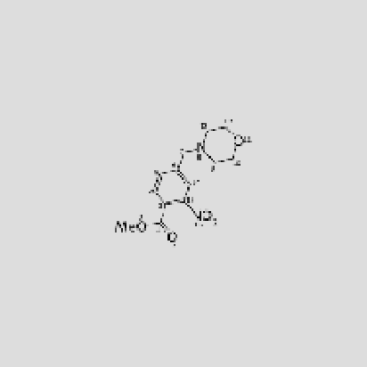 COC(=O)c1ccc(CN2CCOCC2)cc1[N+](=O)[O-]